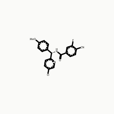 COc1ccc([C@H](NC(=O)c2ccc(C#N)c(F)c2)c2ccc(Cl)cn2)cc1